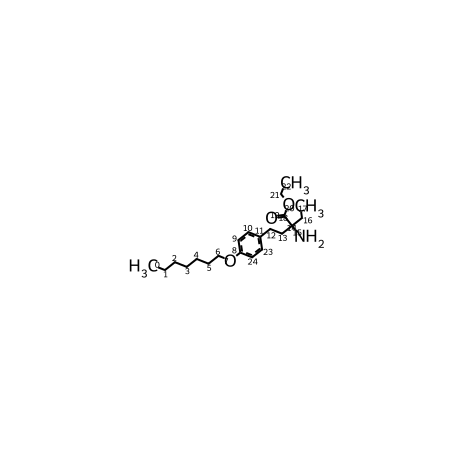 CCCCCCCOc1ccc(CCC(N)(CC)C(=O)OCC)cc1